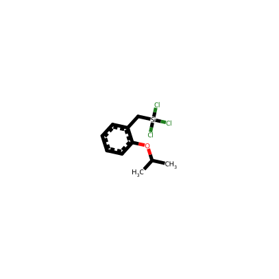 CC(C)Oc1ccccc1C[Si](Cl)(Cl)Cl